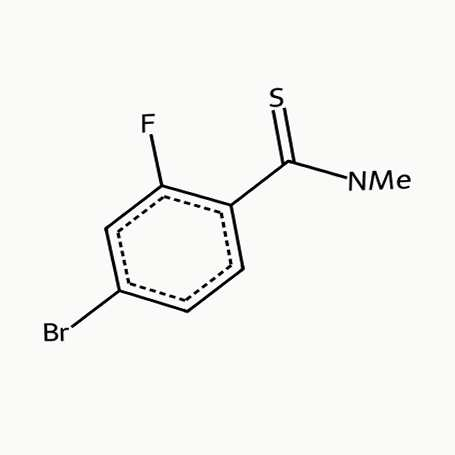 CNC(=S)c1ccc(Br)cc1F